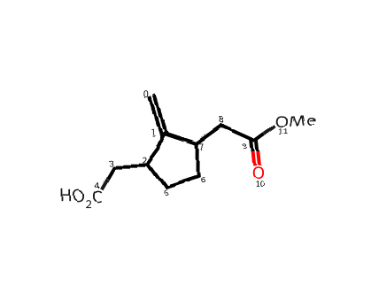 C=C1C(CC(=O)O)CCC1CC(=O)OC